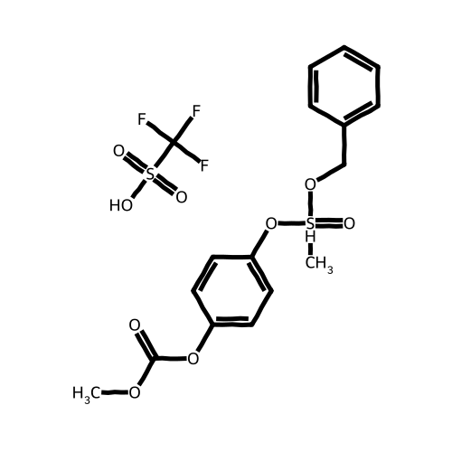 COC(=O)Oc1ccc(O[SH](C)(=O)OCc2ccccc2)cc1.O=S(=O)(O)C(F)(F)F